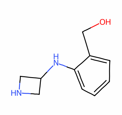 OCc1ccccc1NC1CNC1